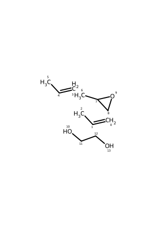 C=CC.C=CC.CC1CO1.OCCO